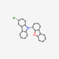 Brc1ccc2c(c1)c1ccccc1n2-c1cccc2c1oc1ccccc12